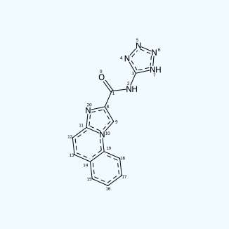 O=C(Nc1nnn[nH]1)c1cn2c(ccc3ccccc32)n1